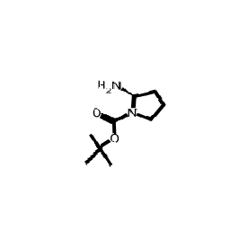 CC(C)(C)OC(=O)N1CCC[C@@H]1N